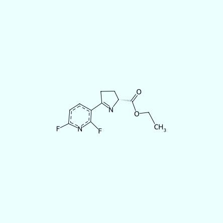 CCOC(=O)[C@H]1CCC(c2ccc(F)nc2F)=N1